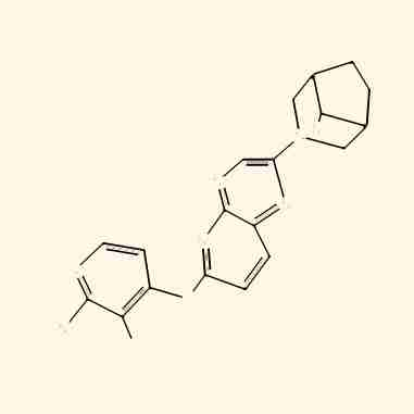 Nc1nccc(Sc2ccc3nc(N4CC5CCC(C4)C5N)cnc3n2)c1Cl